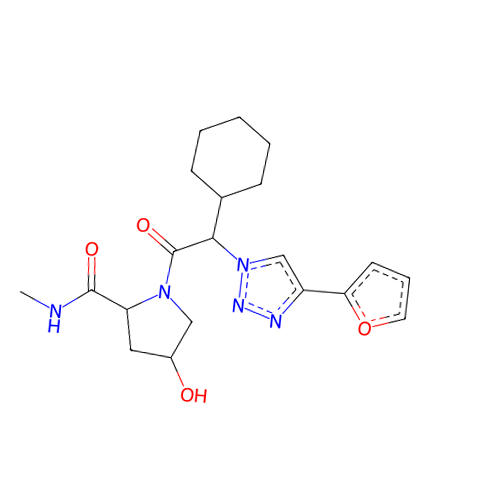 CNC(=O)C1CC(O)CN1C(=O)C(C1CCCCC1)n1cc(-c2ccco2)nn1